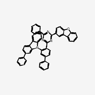 c1ccc(-c2ccc(-c3nc(-c4ccccc4)nc(-c4ccc5oc6ccccc6c5c4)n3)c(-n3c4ccccc4c4ccc(-c5ccccc5)cc43)c2)cc1